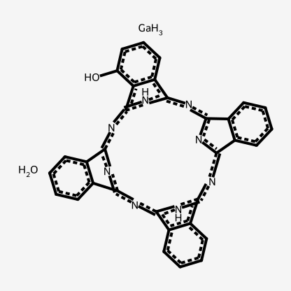 O.Oc1cccc2c3nc4nc(nc5[nH]c(nc6nc(nc([nH]3)c12)-c1ccccc1-6)c1ccccc51)-c1ccccc1-4.[GaH3]